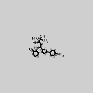 CC(C)(O)C(=N)/C=C(\Nc1ccccc1Cl)c1ccc(-c2ccc(N)cc2)s1